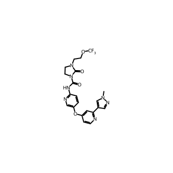 Cn1cc(-c2cc(Oc3ccc(NC(=O)N4CCN(CCOC(F)(F)F)C4=O)nc3)ccn2)cn1